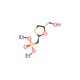 CCOP(=O)(C[C@@H]1O[C@@H](CO)CS1)OCC